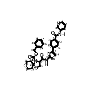 O=C(Nc1cccnc1)c1ccc(-c2csc(NC(=O)C3COC4(CCOCC4)N3C(=O)OCc3ccccc3)n2)cc1